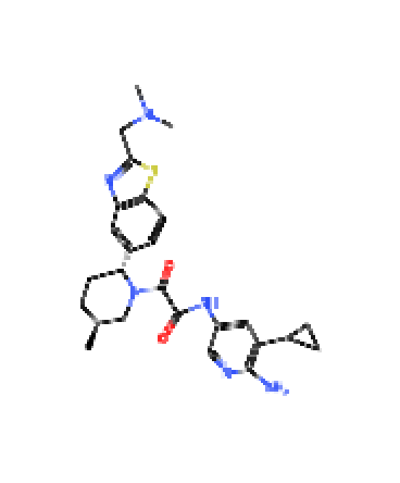 C[C@H]1CC[C@H](c2ccc3sc(CN(C)C)nc3c2)N(C(=O)C(=O)Nc2cnc(N)c(C3CC3)c2)C1